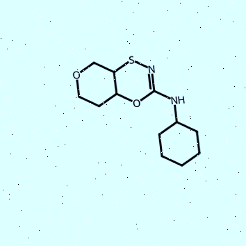 C1CCC(NC2=NSC3COCCC3O2)CC1